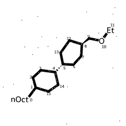 CCCCCCCCC1CCC([C@H]2CC[C@H](COCC)CC2)CC1